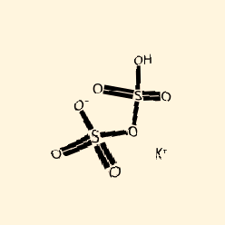 O=S(=O)([O-])OS(=O)(=O)O.[K+]